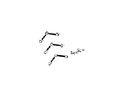 [O-]O[O-].[O-]O[O-].[O-]O[O-].[Sc+3].[Sc+3]